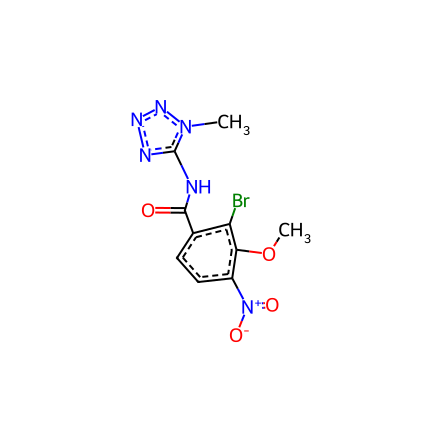 COc1c([N+](=O)[O-])ccc(C(=O)Nc2nnnn2C)c1Br